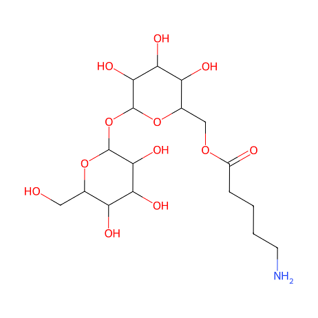 NCCCCC(=O)OCC1OC(OC2OC(CO)C(O)C(O)C2O)C(O)C(O)C1O